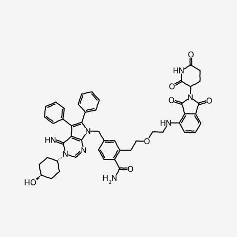 N=c1c2c(-c3ccccc3)c(-c3ccccc3)n(Cc3ccc(C(N)=O)c(CCOCCNc4cccc5c4C(=O)N(C4CCC(=O)NC4=O)C5=O)c3)c2ncn1[C@H]1CC[C@H](O)CC1